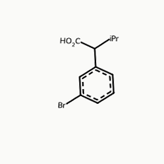 CC(C)C(C(=O)O)c1cccc(Br)c1